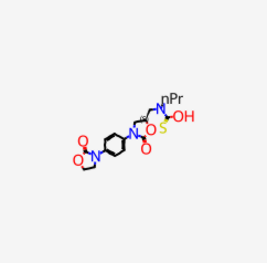 CCCN(C[C@@H]1CN(c2ccc(N3CCOC3=O)cc2)C(=O)O1)C(O)=S